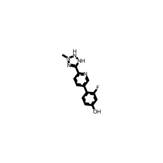 CN1N=C(c2ccc(-c3ccc(O)cc3F)cn2)NN1